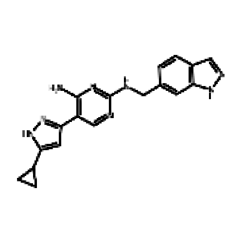 Nc1nc(NCc2ccc3cn[nH]c3c2)ncc1-c1cc(C2CC2)[nH]n1